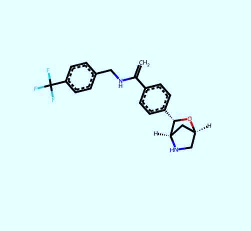 C=C(NCc1ccc(C(F)(F)F)cc1)c1ccc([C@@H]2O[C@H]3CN[C@@H]2C3)cc1